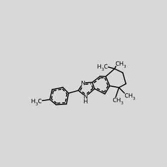 Cc1ccc(-c2nc3cc4c(cc3[nH]2)C(C)(C)CCC4(C)C)cc1